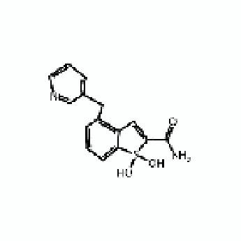 NC(=O)C1=Cc2c(Cc3cccnc3)cccc2S1(O)O